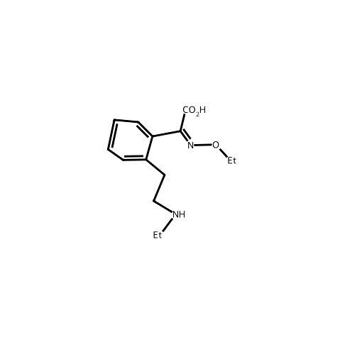 CCNCCc1ccccc1C(=NOCC)C(=O)O